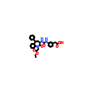 CCOC(=O)CN1C(=O)C(NC(=O)Nc2cccc(CC(=O)O)c2)C=C(c2ccccc2)c2ccccc21